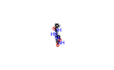 O=C1NC(=O)/C(=C\c2nccc(NCCNC(=O)c3ccccc3)n2)S1